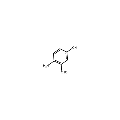 Nc1ccc(O)cc1C=O